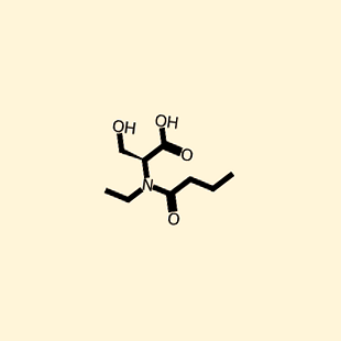 CCCC(=O)N(CC)[C@@H](CO)C(=O)O